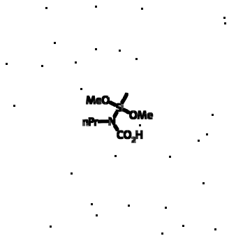 CCCN(C(=O)O)[Si](C)(OC)OC